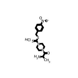 CC(N)C(=O)N1CCN(C(=S)SCc2ccc([N+](=O)[O-])cc2)CC1.Cl